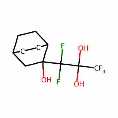 OC1(C(F)(F)C(O)(O)C(F)(F)F)CC2CCC1CC2